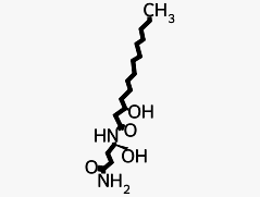 CCCCCCCCCCC[C@@H](O)CC(=O)N[C@@H](CO)CCC(N)=O